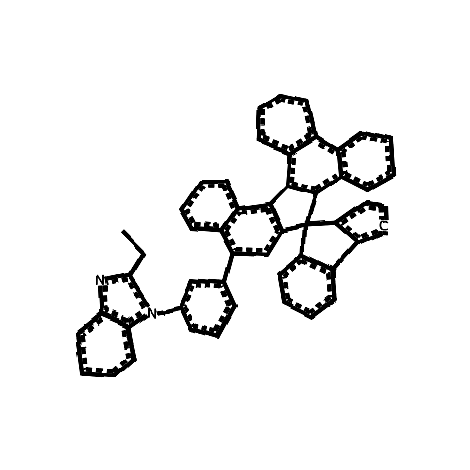 CCc1nc2ccccc2n1-c1cccc(-c2cc3c(c4ccccc24)-c2c(c4ccccc4c4ccccc24)C32c3ccccc3-c3ccccc32)c1